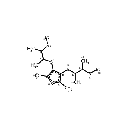 CCSC(C)C(C)Sc1c(C)sc(C)c1SC(C)C(C)SCC